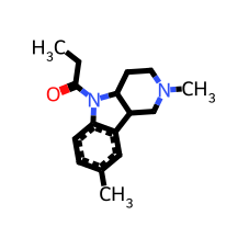 CCC(=O)N1c2ccc(C)cc2C2CN(C)CCC21